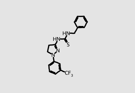 FC(F)(F)c1cccc(N2CCC(NC(=S)NCc3ccccc3)=N2)c1